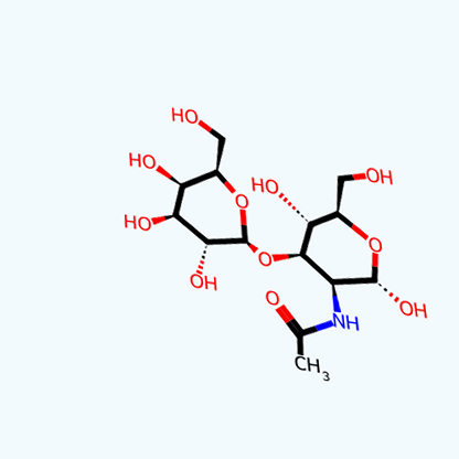 CC(=O)N[C@H]1[C@@H](O[C@@H]2O[C@H](CO)[C@H](O)[C@H](O)[C@H]2O)[C@H](O)[C@@H](CO)O[C@@H]1O